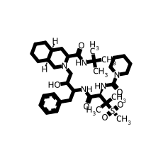 CC(C)(C)NC(=O)C1C[C@@H]2CCCC[C@@H]2CN1CC(O)C(Cc1ccccc1)NC(=O)[C@@H](NC(=O)N1CCCCC1)C(C)(C)S(C)(=O)=O